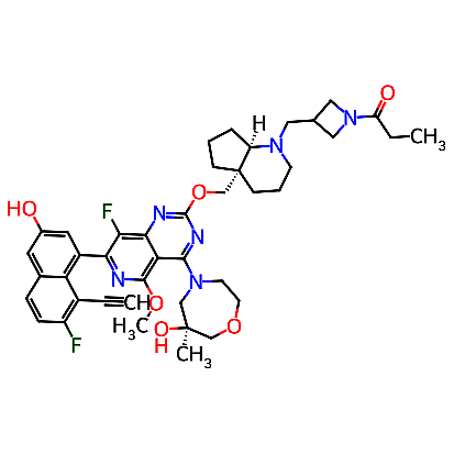 C#Cc1c(F)ccc2cc(O)cc(-c3nc(OC)c4c(N5CCOC[C@@](C)(O)C5)nc(OC[C@]56CCC[C@H]5N(CC5CN(C(=O)CC)C5)CCC6)nc4c3F)c12